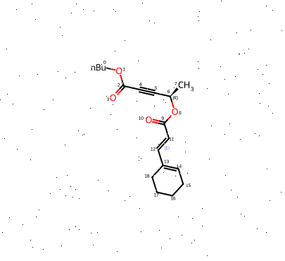 CCCCOC(=O)C#C[C@@H](C)OC(=O)/C=C/C1=CCCCC1